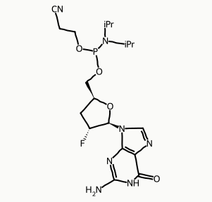 CC(C)N(C(C)C)P(OCCC#N)OC[C@@H]1C[C@@H](F)[C@H](n2cnc3c(=O)[nH]c(N)nc32)O1